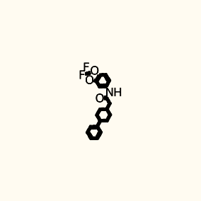 O=C(CC1CCC(c2ccccc2)CC1)Nc1ccc2c(c1)OC(F)(F)O2